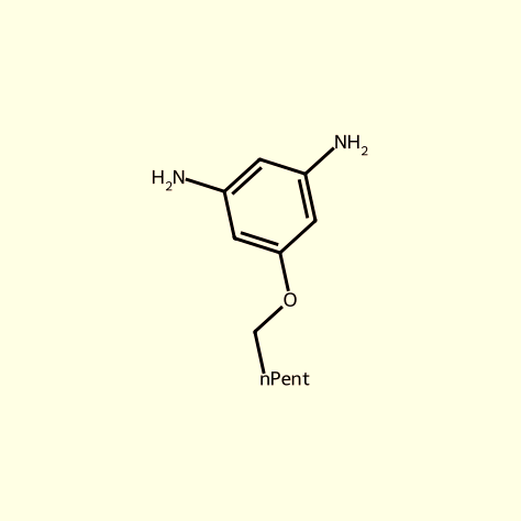 CCCCCCOc1cc(N)cc(N)c1